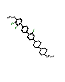 CCCCCc1ccc(-c2ccc(-c3ccc(C4CCC(C5CCC(CCCCC)CC5)CC4)cc3F)cc2)c(F)c1F